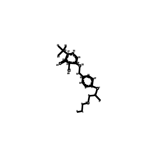 CCCOCC(C)Oc1ccc(COc2cnn(C(C)(C)C)c(=O)c2Cl)cc1